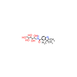 CC1=Nc2ccc(C(=O)NCC(O)C(O)C(O)C(O)CO)cc2C1(C)C